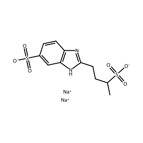 CC(CCc1nc2ccc(S(=O)(=O)[O-])cc2[nH]1)S(=O)(=O)[O-].[Na+].[Na+]